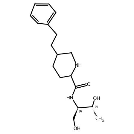 C[C@@H](O)[C@@H](CO)NC(=O)C1CCC(CCc2ccccc2)CN1